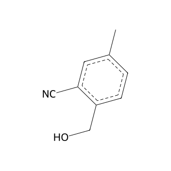 Cc1ccc(CO)c(C#N)c1